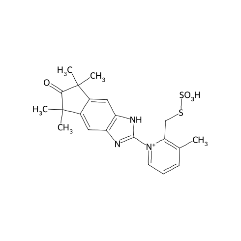 Cc1ccc[n+](-c2nc3cc4c(cc3[nH]2)C(C)(C)C(=O)C4(C)C)c1CSS(=O)(=O)O